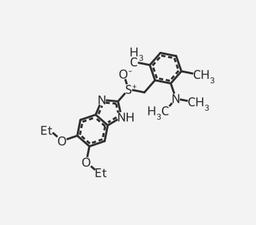 CCOc1cc2nc([S+]([O-])Cc3c(C)ccc(C)c3N(C)C)[nH]c2cc1OCC